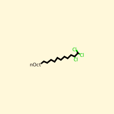 CCCCCCCCCCCCCCCCCC(Cl)C(Cl)Cl